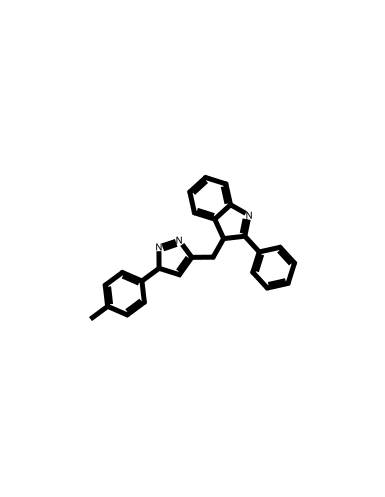 Cc1ccc(C2C=C(CC3C(c4ccccc4)=Nc4ccccc43)N=N2)cc1